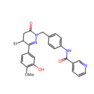 CCC1CC(=O)N(Cc2ccc(NC(=O)c3cccnc3)cc2)N=C1c1ccc(OC)c(O)c1